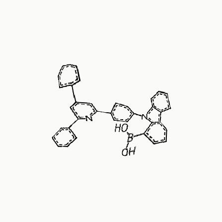 OB(O)c1cccc2c3ccccc3n(-c3ccc(-c4cc(-c5ccccc5)cc(-c5ccccc5)n4)cc3)c12